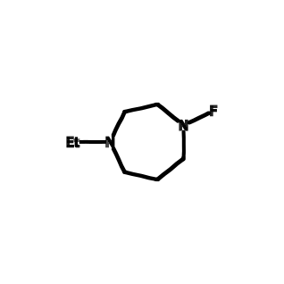 CCN1CCCN(F)CC1